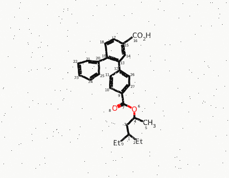 CCC(CC)CC(C)OC(=O)c1ccc(-c2cc(C(=O)O)ccc2-c2ccccc2)cc1